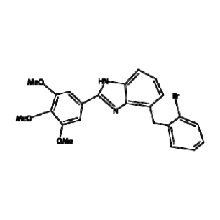 COc1cc(-c2nc3c(Cc4ccccc4Br)cccc3[nH]2)cc(OC)c1OC